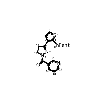 CCCCCc1sccc1C1=NN(C(=O)c2cccnc2)CC1